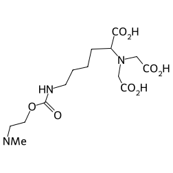 CNCCOC(=O)NCCCCC(C(=O)O)N(CC(=O)O)CC(=O)O